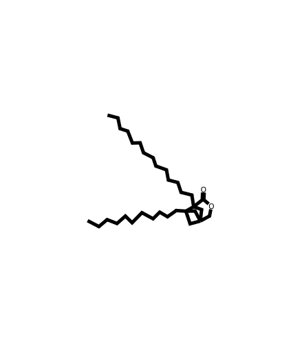 CCCCCCCCCCCCCCC12CC3(COC1=O)CC2(CCCCCCCCCCC)C3